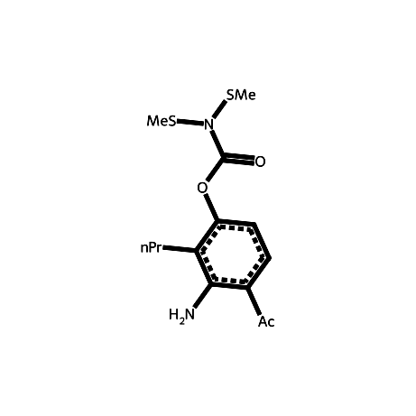 CCCc1c(OC(=O)N(SC)SC)ccc(C(C)=O)c1N